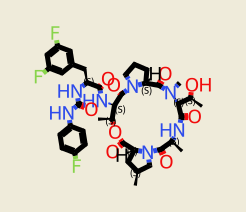 C[C@H]1C[C@H]2C(=O)O[C@@H](C)[C@H](NC(=O)[C@H](Cc3cc(F)cc(F)c3)NC(=O)Nc3ccc(F)cc3)C(=O)N3CCC[C@H]3C(=O)N(C)[C@@H]([C@H](C)O)C(=O)N[C@@H](C)C(=O)N2C1